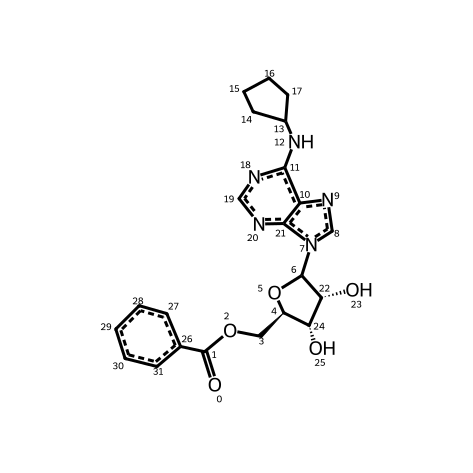 O=C(OC[C@H]1OC(n2cnc3c(NC4CCCC4)ncnc32)[C@H](O)[C@@H]1O)c1ccccc1